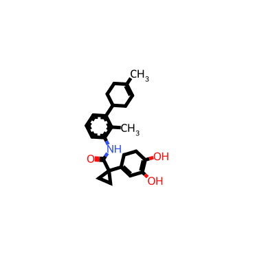 CC1=CCC(c2cccc(NC(=O)C3(C4=CC(O)=C(O)CC4)CC3)c2C)CC1